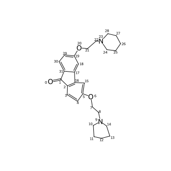 O=C1c2ccc(OCCN3CCCCC3)cc2-c2cc(OCCN3CCCCC3)ccc21